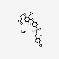 O=C(NCCc1ccc(Cl)cc1Cl)c1ccc(Oc2c(Cl)cc3c(c2C2CC2)OCCC3C(=O)[O-])cc1.[Na+]